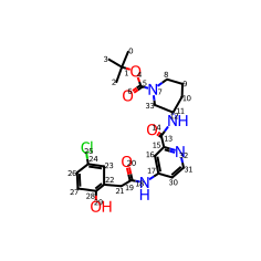 CC(C)(C)OC(=O)N1CCCC(NC(=O)c2cc(NC(=O)Cc3cc(Cl)ccc3O)ccn2)C1